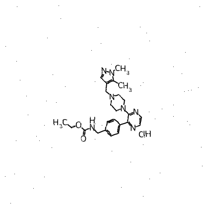 CCOC(=O)NCc1ccc(-c2nccnc2N2CCN(Cc3cnn(C)c3C)CC2)cc1.Cl